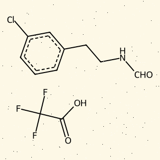 O=C(O)C(F)(F)F.O=CNCCc1cccc(Cl)c1